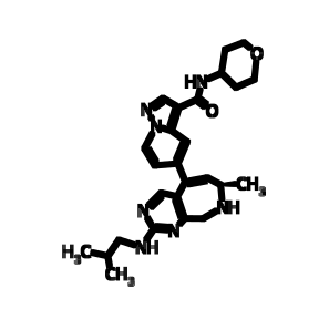 CC(C)CNc1ncc2c(n1)CN[C@H](C)C=C2c1ccn2ncc(C(=O)NC3CCOCC3)c2c1